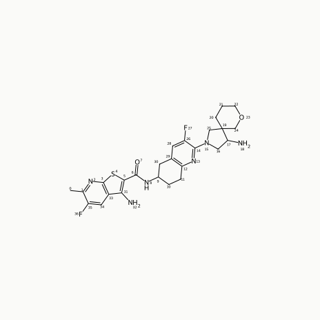 Cc1nc2sc(C(=O)NC3CCc4nc(N5CC(N)C6(CCCOC6)C5)c(F)cc4C3)c(N)c2cc1F